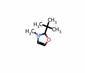 CN1C=COC1C(C)(C)C